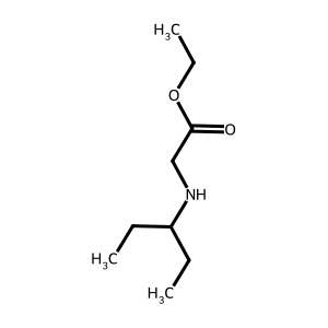 CCOC(=O)CNC(CC)CC